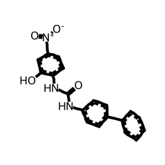 O=C(Nc1ccc(-c2ccccc2)cc1)Nc1ccc([N+](=O)[O-])cc1O